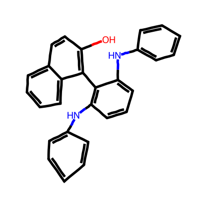 Oc1ccc2ccccc2c1-c1c(Nc2ccccc2)cccc1Nc1ccccc1